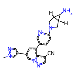 Cn1cc(-c2cc(-c3ccc(N4C[C@@H]5[C@@H](N)[C@@H]5C4)nc3)c3c(C#N)cnn3c2)cn1